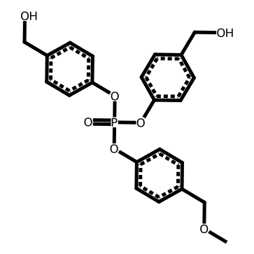 COCc1ccc(OP(=O)(Oc2ccc(CO)cc2)Oc2ccc(CO)cc2)cc1